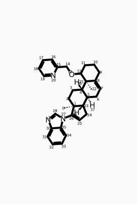 C[C@]12CC[C@H]3[C@@H](CC=C4CCCC(OCc5ccccn5)[C@@]43C)[C@@H]1CC=C2n1cnc2ccccc21